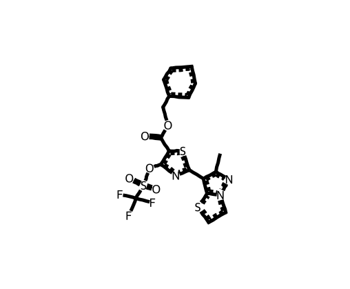 Cc1nn2ccsc2c1-c1nc(OS(=O)(=O)C(F)(F)F)c(C(=O)OCc2ccccc2)s1